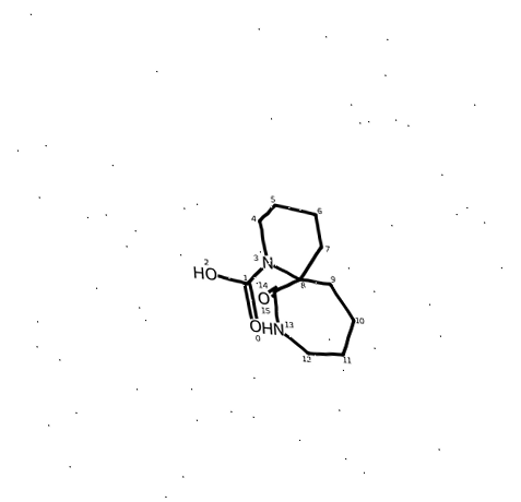 O=C(O)N1CCCCC12CCCCNC2=O